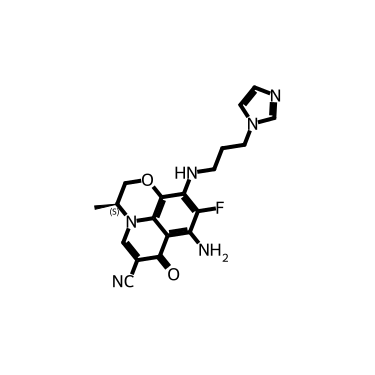 C[C@H]1COc2c(NCCCn3ccnc3)c(F)c(N)c3c(=O)c(C#N)cn1c23